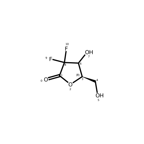 O=C1O[C@H](CO)C(O)C1(F)F